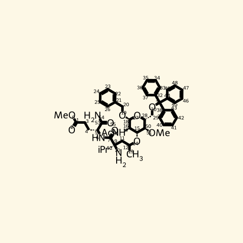 COC(=O)CC[C@@H](NC(=O)[C@](N)(CC(C)O[C@@H]1[C@@H](NC(C)=O)[C@@H](OCc2ccccc2)O[C@H](COC(c2ccccc2)(c2ccccc2)c2ccccc2)[C@H]1OC)C(C)C)C(N)=O